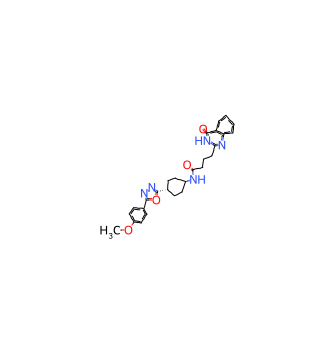 COc1ccc(-c2nnc([C@H]3CC[C@H](NC(=O)CCCc4nc5ccccc5c(=O)[nH]4)CC3)o2)cc1